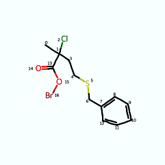 CC(Cl)(CCSCc1ccccc1)C(=O)OBr